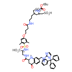 Cc1cc(OCCCC(=O)NCCC[C@H](C[C@H](CS(=O)(=O)O)NC(=O)OC(C)(C)C)CS(=O)(=O)O)cc(C)c1S(=O)(=O)N[C@@H](CNC(=O)C1CC(=O)c2ccc(CNc3nccn3C(c3ccccc3)(c3ccccc3)c3ccccc3)cc2N1C)C(=O)O